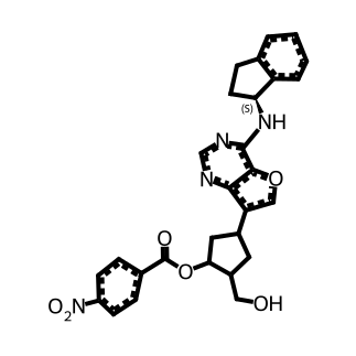 O=C(OC1CC(c2coc3c(N[C@H]4CCc5ccccc54)ncnc23)CC1CO)c1ccc([N+](=O)[O-])cc1